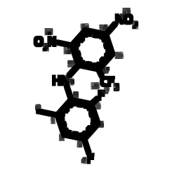 Cc1cc(F)cc(F)c1Nc1c([N+](=O)[O-])cc([N+](=O)[O-])cc1C(F)(F)F